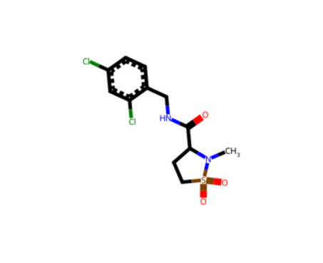 CN1C(C(=O)NCc2ccc(Cl)cc2Cl)CCS1(=O)=O